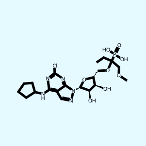 CCC(COC)(OC[C@H]1O[C@@H](n2ncc3c(NC4CCCC4)nc(Cl)nc32)[C@H](O)[C@@H]1O)P(=O)(O)O